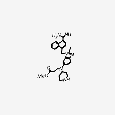 COC(=O)CCN(c1ccc2nc(C)n(Cc3ccc(C(=N)N)c4ccccc34)c2c1)C1CCNCC1